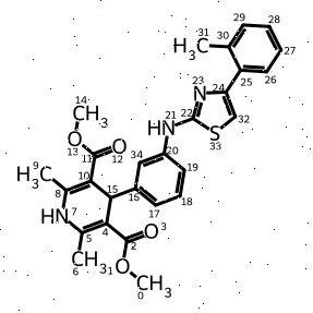 COC(=O)C1=C(C)NC(C)=C(C(=O)OC)C1c1cccc(Nc2nc(-c3ccccc3C)cs2)c1